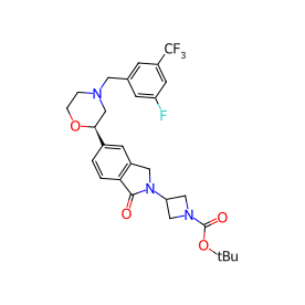 CC(C)(C)OC(=O)N1CC(N2Cc3cc([C@@H]4CN(Cc5cc(F)cc(C(F)(F)F)c5)CCO4)ccc3C2=O)C1